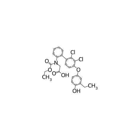 CCOC(=O)N(CC(=O)O)c1ccccc1-c1ccc(Oc2ccc(O)c(CC)c2)c(Cl)c1Cl